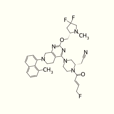 Cc1cccc2cccc(N3CCc4c(nc(OC[C@@H]5CC(F)(F)CN5C)nc4N4CCN(C(=O)/C=C/CF)[C@@H](CC#N)C4)C3)c12